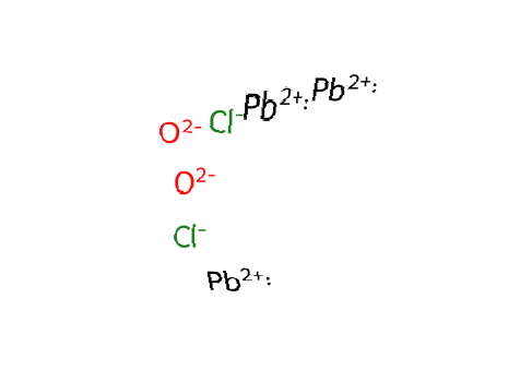 [Cl-].[Cl-].[O-2].[O-2].[Pb+2].[Pb+2].[Pb+2]